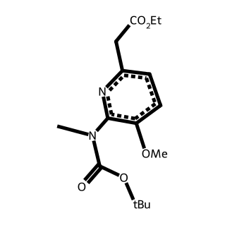 CCOC(=O)Cc1ccc(OC)c(N(C)C(=O)OC(C)(C)C)n1